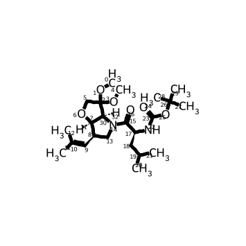 COC1(OC)CO[C@@H]2[C@H](C=C(C)C)CN(C(=O)[C@H](CC(C)C)NC(=O)OC(C)(C)C)[C@@H]21